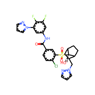 O=C(Nc1cc(F)c(F)c(-n2cccn2)c1)c1ccc(Cl)c(S(=O)(=O)[C@@H]2C3CCC2[C@@](O)(Cn2cccn2)C3)c1